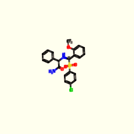 NC(=O)C(N[C@@H](c1ccccc1OC(F)(F)F)S(=O)(=O)c1ccc(Cl)cc1)c1ccccc1